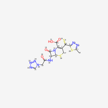 Cc1nnc(C(=S)C2=C(C(=O)O)N3C(=O)C(NC(=O)Cn4cnnn4)C3SC2)s1